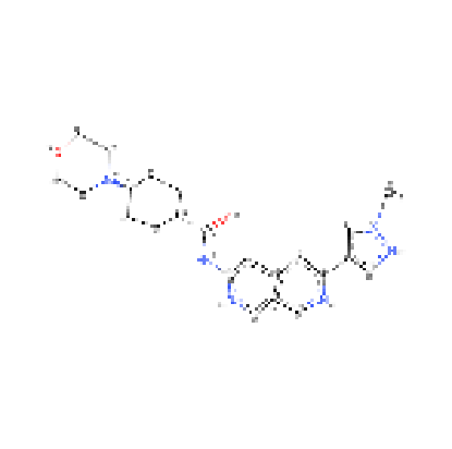 Cn1cc(-c2cc3cc(NC(=O)[C@H]4CC[C@H](N5CCOCC5)CC4)ncc3cn2)cn1